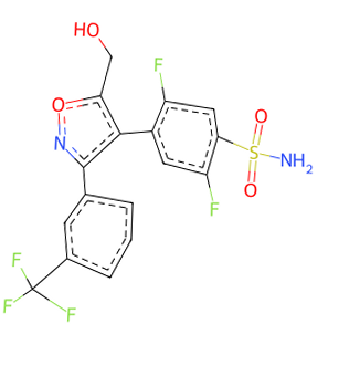 NS(=O)(=O)c1cc(F)c(-c2c(-c3cccc(C(F)(F)F)c3)noc2CO)cc1F